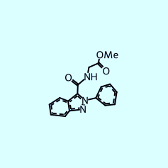 COC(=O)CNC(=O)c1c2ccccc2nn1-c1ccccc1